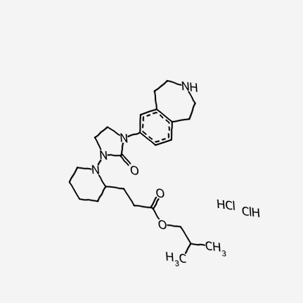 CC(C)COC(=O)CCC1CCCCN1N1CCN(c2ccc3c(c2)CCNCC3)C1=O.Cl.Cl